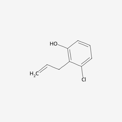 C=CCc1c(O)cccc1Cl